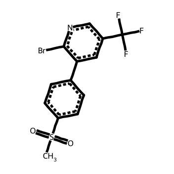 CS(=O)(=O)c1ccc(-c2cc(C(F)(F)F)cnc2Br)cc1